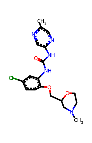 Cc1cnc(NC(=O)Nc2cc(Cl)ccc2OCC2CN(C)CCO2)cn1